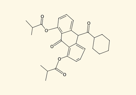 CC(C)C(=O)Oc1cccc2c1C(=O)c1c(OC(=O)C(C)C)cccc1C2C(=O)C1CCCCC1